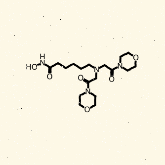 O=C(CCCCCN(CC(=O)N1CCOCC1)CC(=O)N1CCOCC1)NO